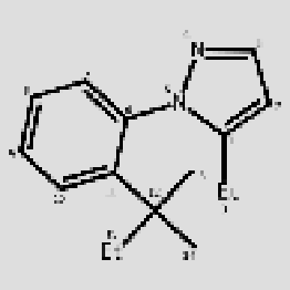 CCc1ccnn1-c1ccccc1C(C)(C)CC